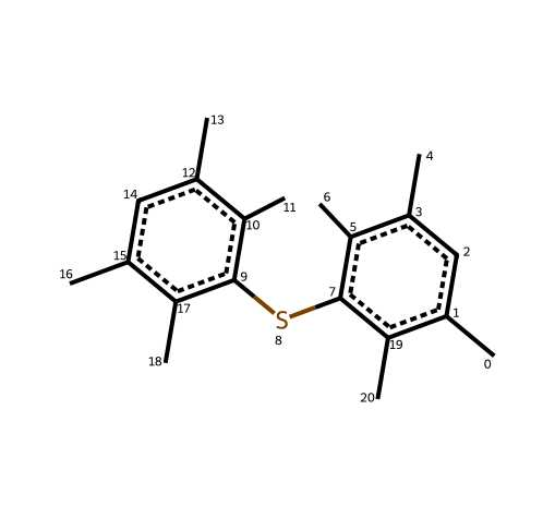 Cc1cc(C)c(C)c(Sc2c(C)c(C)cc(C)c2C)c1C